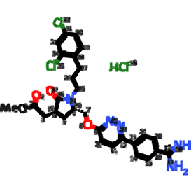 COC(=O)C[C@@H]1C[C@@H](COc2ccc(-c3ccc(C(=N)N)cc3)nn2)N(CCCc2ccc(Cl)cc2Cl)C1=O.Cl